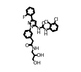 O=C(Cc1cccc(-n2nc(-c3ccccc3F)cc2NC(=O)Nc2cccc(Cl)c2Cl)c1)NCC(O)CO